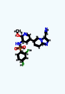 COc1ncc(-c2ccc3ncc(C#N)n3c2)cc1NS(=O)(=O)c1ccc(F)cc1F